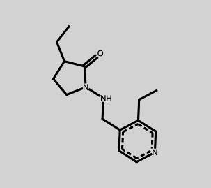 CCc1cnccc1CNN1CCC(CC)C1=O